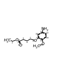 CCOC(=O)CCCOc1cc(N)ccc1OC